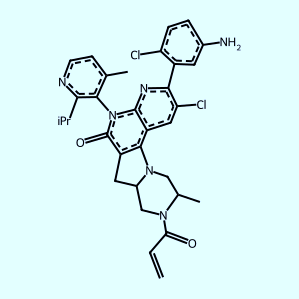 C=CC(=O)N1CC2Cc3c(c4cc(Cl)c(-c5cc(N)ccc5Cl)nc4n(-c4c(C)ccnc4C(C)C)c3=O)N2CC1C